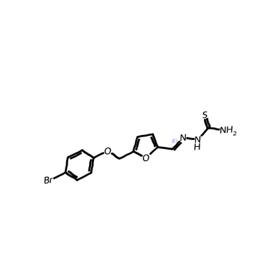 NC(=S)N/N=C/c1ccc(COc2ccc(Br)cc2)o1